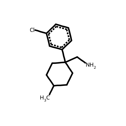 C[C]1CCC(CN)(c2cccc(Cl)c2)CC1